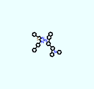 c1ccc(-c2ccc(-c3nc(-n4c5ccc(-c6ccc7c(c6)c6ccccc6n7-c6ccccc6)cc5c5cc6ccccc6cc54)nc4cc(-c5ccccc5)sc34)cc2)cc1